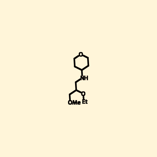 CCOC(CNC1CCOCC1)COC